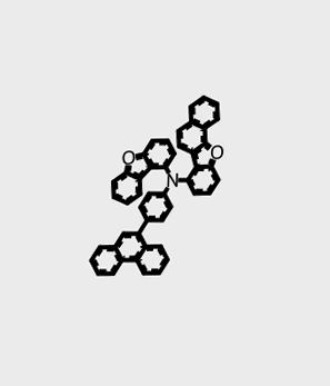 c1ccc2c(c1)cc(-c1ccc(N(c3cccc4oc5ccccc5c34)c3cccc4oc5c6ccccc6ccc5c34)cc1)c1ccccc12